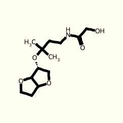 CC(C)(CCNC(=O)CO)O[C@@H]1COC2CCOC21